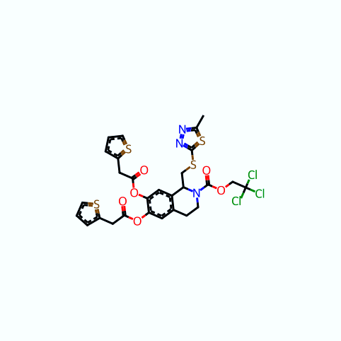 Cc1nnc(SCC2c3cc(OC(=O)Cc4cccs4)c(OC(=O)Cc4cccs4)cc3CCN2C(=O)OCC(Cl)(Cl)Cl)s1